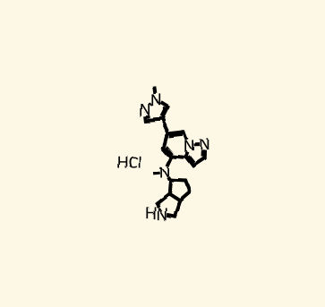 CN(c1cc(-c2cnn(C)c2)cn2nccc12)C1CCC2CNCC21.Cl